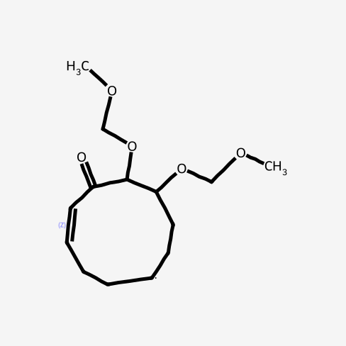 COCOC1CC[CH]CC/C=C\C(=O)C1OCOC